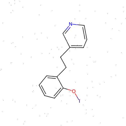 IOc1ccccc1CCc1cccnc1